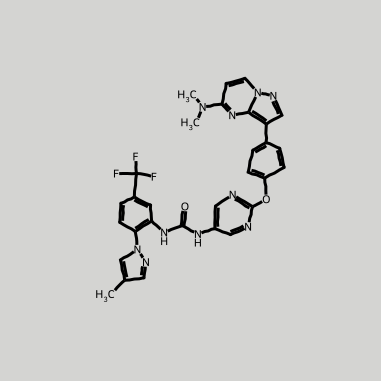 Cc1cnn(-c2ccc(C(F)(F)F)cc2NC(=O)Nc2cnc(Oc3ccc(-c4cnn5ccc(N(C)C)nc45)cc3)nc2)c1